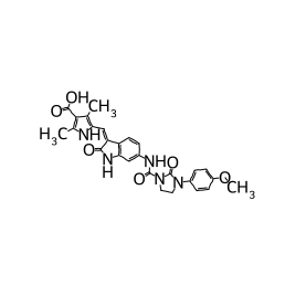 COc1ccc(N2CCN(C(=O)Nc3ccc4c(c3)NC(=O)C4=Cc3[nH]c(C)c(C(=O)O)c3C)C2=O)cc1